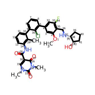 COc1cc(-c2cccc(-c3cccc(NC(=O)c4cn(C)c(=O)n(C)c4=O)c3C)c2Cl)cc(F)c1CN[C@@H]1CCC[C@@H]1O